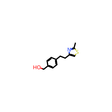 Cc1nc(CCc2ccc(CO)cc2)cs1